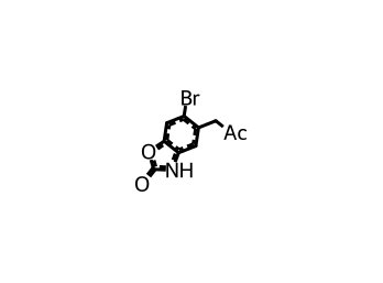 CC(=O)Cc1cc2[nH]c(=O)oc2cc1Br